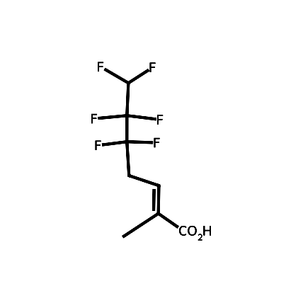 C/C(=C\CC(F)(F)C(F)(F)C(F)F)C(=O)O